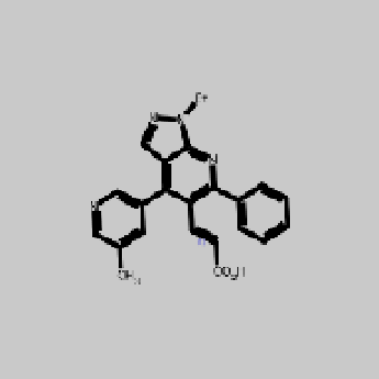 CCn1ncc2c(-c3cncc(C)c3)c(/C=C/C(=O)O)c(-c3ccccc3)nc21